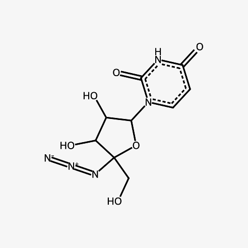 [N-]=[N+]=NC1(CO)OC(n2ccc(=O)[nH]c2=O)C(O)C1O